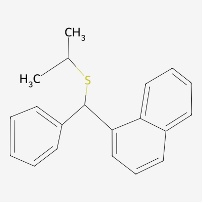 CC(C)SC(c1ccccc1)c1cccc2ccccc12